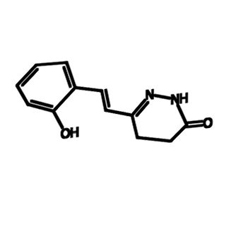 O=C1CCC(C=Cc2ccccc2O)=NN1